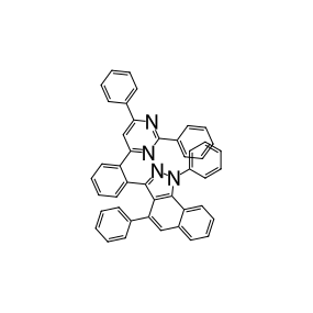 c1ccc(-c2cc(-c3ccccc3-c3nn(-c4ccccc4)c4c3c(-c3ccccc3)cc3ccccc34)nc(-c3ccccc3)n2)cc1